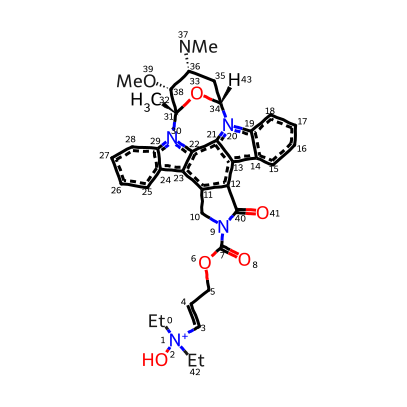 CC[N+](O)(/C=C/COC(=O)N1Cc2c(c3c4ccccc4n4c3c3c2c2ccccc2n3[C@@]2(C)O[C@@H]4C[C@@H](NC)[C@H]2OC)C1=O)CC